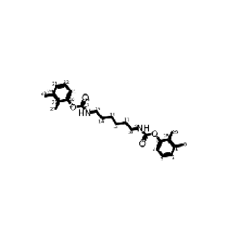 Cc1cccc(OC(=O)NCCCCCCNC(=O)Oc2cccc(C)c2C)c1C